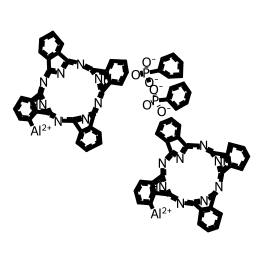 O=P([O-])([O-])c1ccccc1.O=P([O-])([O-])c1ccccc1.[Al+2][c]1cccc2c3nc4nc(nc5[nH]c(nc6nc(nc([nH]3)c12)-c1ccccc1-6)c1ccccc51)-c1ccccc1-4.[Al+2][c]1cccc2c3nc4nc(nc5[nH]c(nc6nc(nc([nH]3)c12)-c1ccccc1-6)c1ccccc51)-c1ccccc1-4